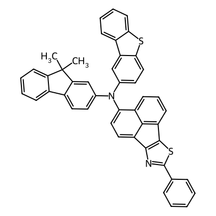 CC1(C)c2ccccc2-c2ccc(N(c3ccc4sc5ccccc5c4c3)c3ccc4c5c(cccc35)-c3sc(-c5ccccc5)nc3-4)cc21